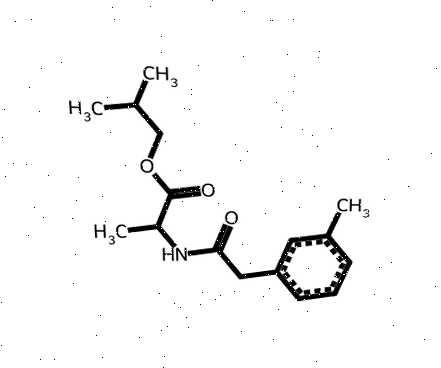 Cc1cccc(CC(=O)NC(C)C(=O)OCC(C)C)c1